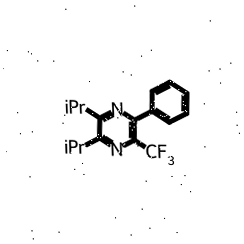 CC(C)c1nc(-c2ccccc2)c(C(F)(F)F)nc1C(C)C